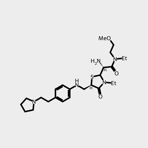 CCN(CCOC)C(=O)[C@@H](N)C1S[C@H](CNc2ccc(CCN3CCCC3)cc2)C(=O)N1CC